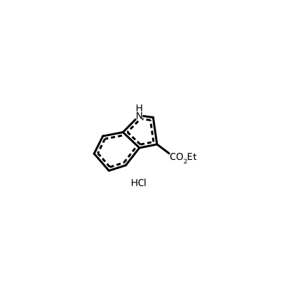 CCOC(=O)c1c[nH]c2ccccc12.Cl